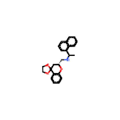 CC(NC[C@H]1CC2(OCCO2)c2ccccc2O1)c1cccc2ccccc12